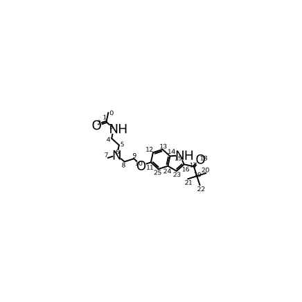 CC(=O)NCCN(C)CCOc1ccc2[nH]c(C(=O)C(C)(C)C)cc2c1